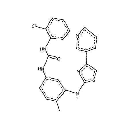 Cc1ccc(NC(=O)Nc2ccccc2Cl)cc1Nc1nc(-c2cccnc2)cs1